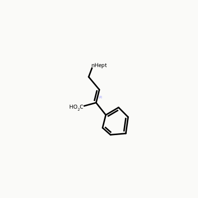 CCCCCCCC/C=C(\C(=O)O)c1ccccc1